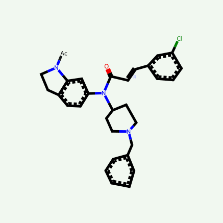 CC(=O)N1CCc2ccc(N(C(=O)/C=C/c3cccc(Cl)c3)C3CCN(Cc4ccccc4)CC3)cc21